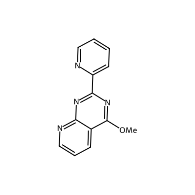 COc1nc(-c2ccccn2)nc2ncccc12